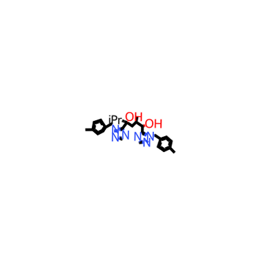 Cc1ccc(Cn2ncnc2C(O)C(C)CC(O)(c2ncnn2Cc2ccc(C)cc2)C(C)C)cc1